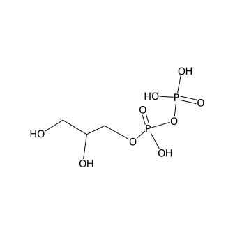 O=P(O)(O)OP(=O)(O)OCC(O)CO